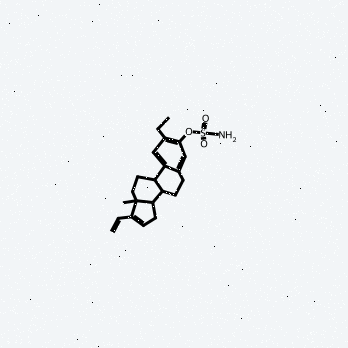 C=CC1=CCC2C3CCc4cc(OS(N)(=O)=O)c(CC)cc4C3CCC12C